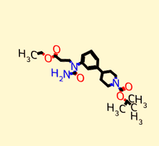 CCOC(=O)CCN(C(N)=O)c1cccc(C2CCN(C(=O)OC(C)(C)C)CC2)c1